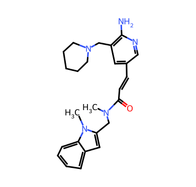 CN(Cc1cc2ccccc2n1C)C(=O)C=Cc1cnc(N)c(CN2CCCCC2)c1